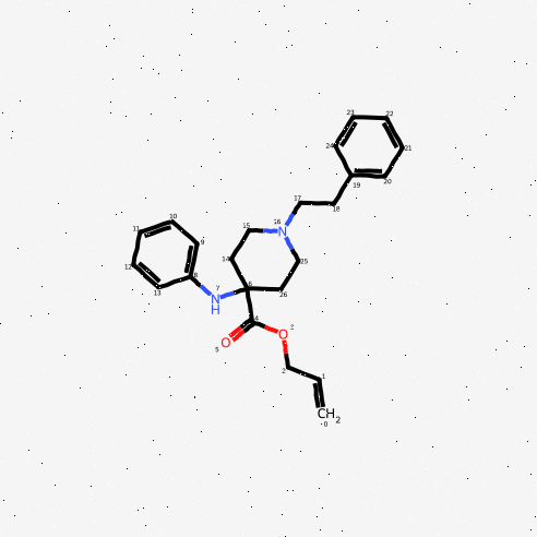 C=CCOC(=O)C1(Nc2ccccc2)CCN(CCc2ccccc2)CC1